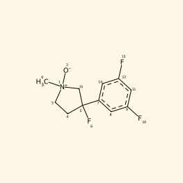 C[N+]1([O-])CCC(F)(c2cc(F)cc(F)c2)C1